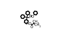 C=C(C)C(=O)O.c1ccc(OOCC(c2ccccc2)(c2ccccc2)c2ccccc2)cc1